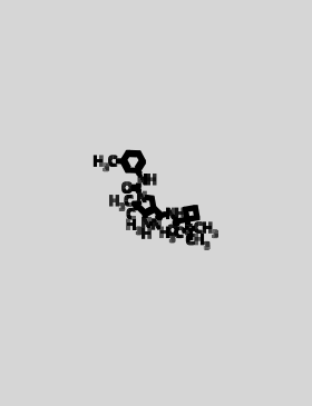 Cc1cccc(NC(=O)N2Cc3c(NC(=O)C4(S(C)(C)C)CCC4)n[nH]c3C2(C)C)c1